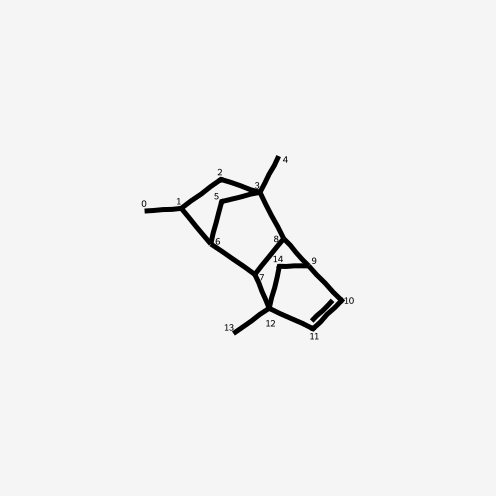 CC1CC2(C)CC1C1C2C2C=CC1(C)C2